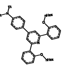 CCCCCCOc1ccccc1-c1cc(-c2ccc(N(CC)CC)cc2)cc(-c2ccccc2OCCCCCC)n1